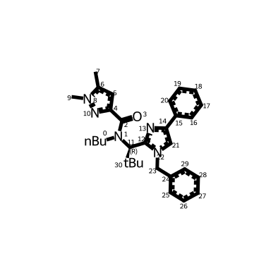 CCCCN(C(=O)c1cc(C)n(C)n1)[C@@H](c1nc(-c2ccccc2)cn1Cc1ccccc1)C(C)(C)C